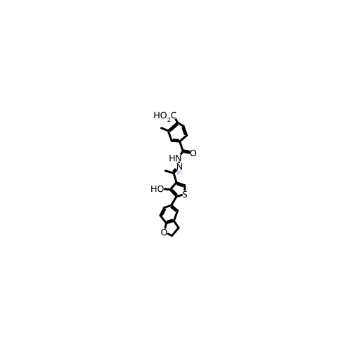 C/C(=N\NC(=O)c1ccc(C(=O)O)c(C)c1)c1csc(-c2ccc3c(c2)CCO3)c1O